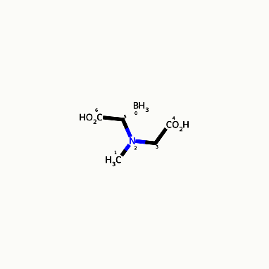 B.CN(CC(=O)O)CC(=O)O